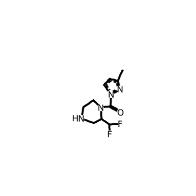 Cc1ccn(C(=O)N2CCNCC2C(F)F)n1